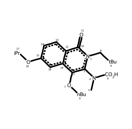 CCCCOc1c(N(C)C(=O)O)n(CC(C)(C)C)c(=O)c2ccc(OC(C)C)cc12